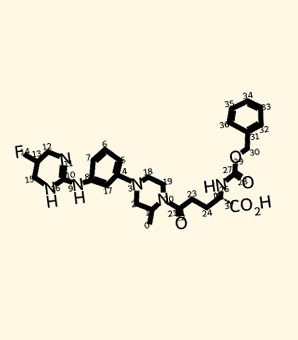 CC1CN(c2cccc(NC3=NCC(F)CN3)c2)CCN1C(=O)CC[C@H](NC(=O)OCc1ccccc1)C(=O)O